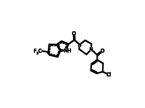 O=C(C1=CC=CC(Cl)C1)N1CCN(C(=O)c2cc3cc(C(F)(F)F)ccc3[nH]2)CC1